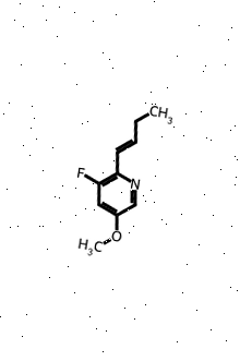 CC/C=C/c1ncc(OC)cc1F